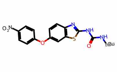 CCCCNC(=O)Nc1nc2ccc(Oc3ccc([N+](=O)[O-])cc3)cc2s1